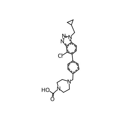 O=C(O)N1CCN(Cc2ccc(-c3ccc4c(nnn4CC4CC4)c3Cl)cc2)CC1